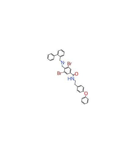 O=C(NCCc1ccc(Oc2ccccc2)cc1)c1cc(Br)c(C[N]Cc2ccccc2-c2ccccc2)c(Br)c1